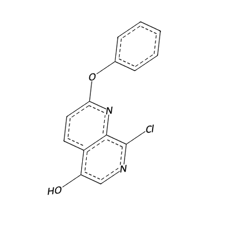 Oc1cnc(Cl)c2nc(Oc3ccccc3)ccc12